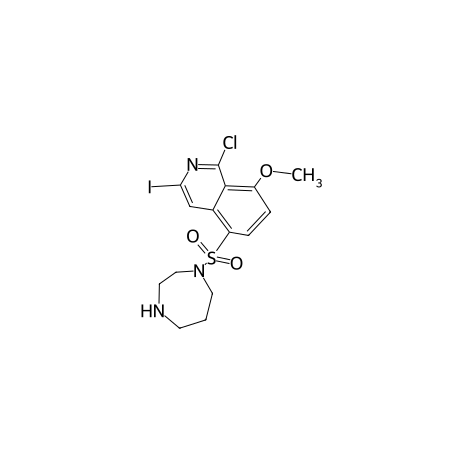 COc1ccc(S(=O)(=O)N2CCCNCC2)c2cc(I)nc(Cl)c12